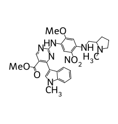 COC(=O)c1cnc(Nc2cc([N+](=O)[O-])c(NCC3CCCN3C)cc2OC)nc1-c1cn(C)c2ccccc12